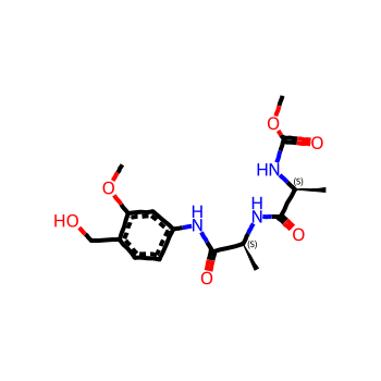 COC(=O)N[C@@H](C)C(=O)N[C@@H](C)C(=O)Nc1ccc(CO)c(OC)c1